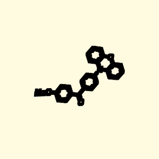 COc1ccc(C(=O)c2ccc(N3c4ccccc4Oc4ccccc43)cc2)cc1